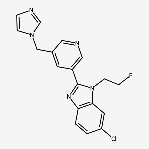 FCCn1c(-c2cncc(Cn3ccnc3)c2)nc2ccc(Cl)cc21